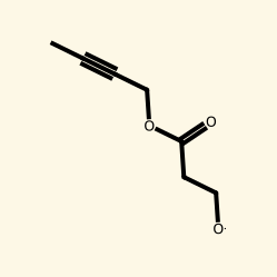 CC#CCOC(=O)CC[O]